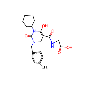 Cc1ccc(CN2CC(C(=O)NCC(=O)O)=C(O)N(C3CCCCC3)C2=O)cc1